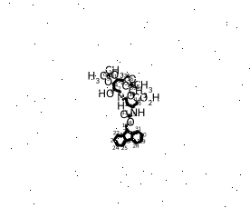 CC1(C)O[C@H]([C@@H](O)CNC(=O)CC(CC(=O)O)NC(=O)OCC2c3ccccc3-c3ccccc32)[C@@H]([C@H]2COC(C)(C)O2)O1